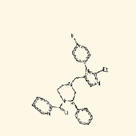 CCc1ncc(CN2CCN(C(=O)c3ccccn3)[C@H](c3ccccc3)C2)n1-c1ccc(F)cc1